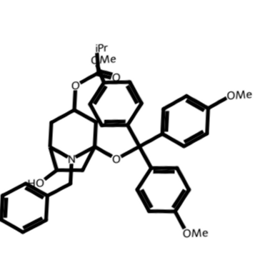 COc1ccc(C(OC23CC(OC(=O)C(C)C)CC(C(O)C2)N3Cc2ccccc2)(c2ccc(OC)cc2)c2ccc(OC)cc2)cc1